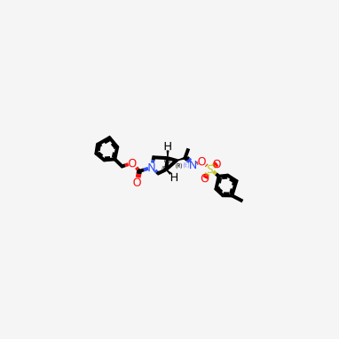 C/C(=N\OS(=O)(=O)c1ccc(C)cc1)[C@H]1[C@@H]2CN(C(=O)OCc3ccccc3)C[C@@H]21